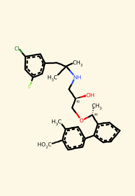 Cc1cc(-c2ccccc2[C@@H](C)OC[C@H](O)CNC(C)(C)Cc2cc(F)cc(Cl)c2)ccc1C(=O)O